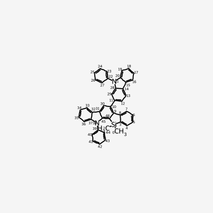 C[Si]1(C)c2ccccc2-c2c(-c3ccc4c5ccccc5n(-c5ccccc5)c4c3)cc3c4ccccc4n(-c4ccccc4)c3c21